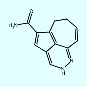 NC(=O)c1cc2c[nH]nc3c-2c1CCC=C3